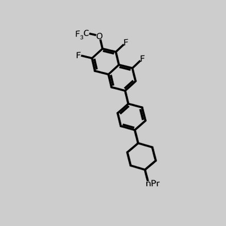 CCCC1CCC(c2ccc(-c3cc(F)c4c(F)c(OC(F)(F)F)c(F)cc4c3)cc2)CC1